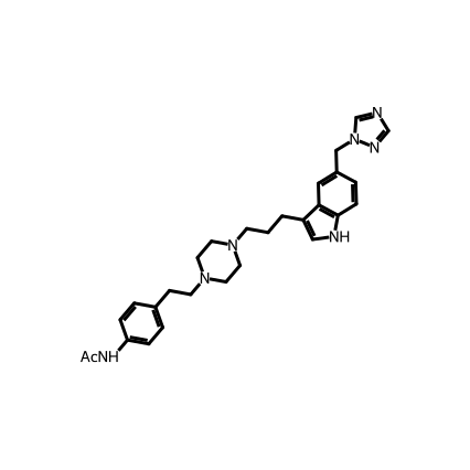 CC(=O)Nc1ccc(CCN2CCN(CCCc3c[nH]c4ccc(Cn5cncn5)cc34)CC2)cc1